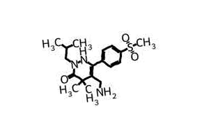 CC(C)CN1NC(c2ccc(S(C)(=O)=O)cc2)=C(CN)C(C)(C)C1=O